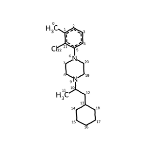 Cc1cccc(N2CCN(C(C)CC3CCCCC3)CC2)c1Cl